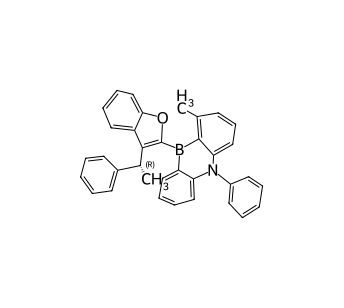 Cc1cccc2c1B(c1oc3ccccc3c1[C@H](C)c1ccccc1)c1ccccc1N2c1ccccc1